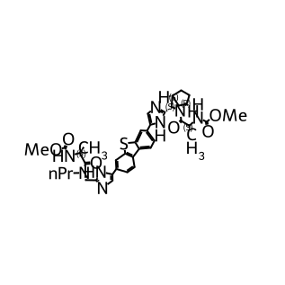 CCCN(Cc1ncc(-c2ccc3c(c2)sc2cc(-c4cnc([C@@H]5[C@H]6CC[C@H](C6)N5C(=O)[C@H](C)NC(=O)OC)[nH]4)ccc23)[nH]1)C(=O)[C@H](C)NC(=O)OC